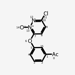 CC(=O)c1cccc(Oc2ccc(Cl)n[n+]2[O-])c1